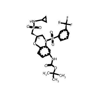 CC(C)(C)OC(=O)Nc1ccc2c(c1)N(S(=O)(=O)c1cccc(C(F)(F)F)c1)C[C@H](CS(=O)(=O)NC1CC1)O2